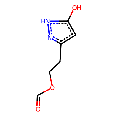 O=COCCc1cc(O)[nH]n1